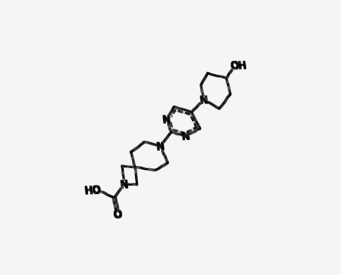 O=C(O)N1CC2(CCN(c3ncc(N4CCC(O)CC4)cn3)CC2)C1